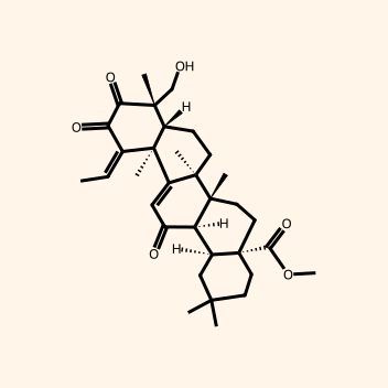 C/C=C1\C(=O)C(=O)[C@](C)(CO)[C@@H]2CC[C@]3(C)C(=CC(=O)[C@@H]4[C@@H]5CC(C)(C)CC[C@]5(C(=O)OC)CC[C@]43C)[C@@]12C